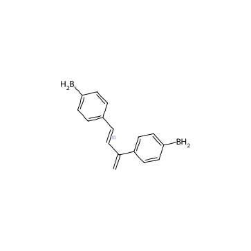 Bc1ccc(/C=C/C(=C)c2ccc(B)cc2)cc1